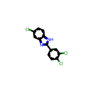 Clc1ccc2[nH]c(-c3ccc(Cl)c(Cl)c3)nc2c1